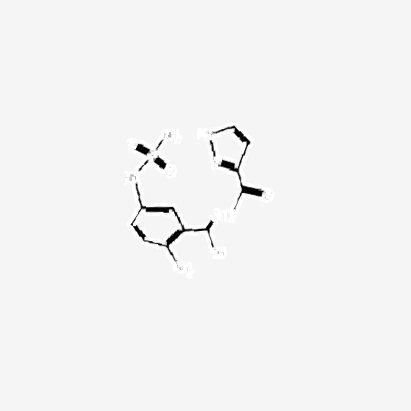 Nc1ccc(NS(N)(=O)=O)cc1C(=O)O.O=C(O)c1cc[nH]n1